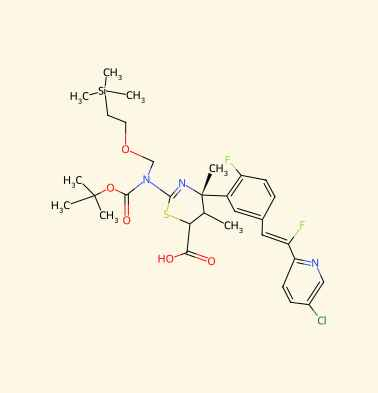 CC1C(C(=O)O)SC(N(COCC[Si](C)(C)C)C(=O)OC(C)(C)C)=N[C@]1(C)c1cc(/C=C(\F)c2ccc(Cl)cn2)ccc1F